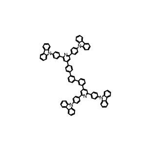 c1cc(-c2ccc(-c3cc(-c4ccc(-n5c6ccccc6c6ccccc65)cc4)nc(-c4ccc(-n5c6ccccc6c6ccccc65)cc4)c3)cc2)cc(-c2cccc(-c3cc(-c4ccc(-n5c6ccccc6c6ccccc65)cc4)nc(-c4ccc(-n5c6ccccc6c6ccccc65)cc4)c3)c2)c1